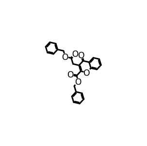 O=C(Cc1c(C(=O)OCc2ccccc2)oc2ccccc2c1=O)OCc1ccccc1